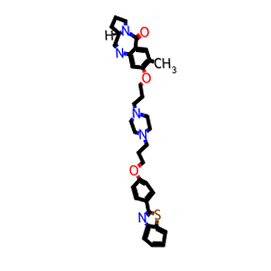 Cc1cc2c(cc1OCCCN1CCN(CCCOc3ccc(-c4nc5ccccc5s4)cc3)CC1)N=C[C@@H]1CCCN1C2=O